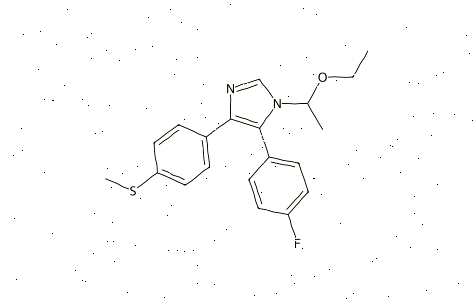 CCOC(C)n1cnc(-c2ccc(SC)cc2)c1-c1ccc(F)cc1